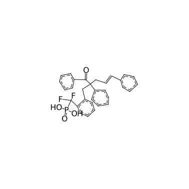 O=C(c1ccccc1)C(C/C=C/c1ccccc1)(Cc1ccccc1C(F)(F)P(=O)(O)O)c1ccccc1